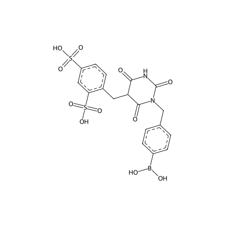 O=C1NC(=O)N(Cc2ccc(B(O)O)cc2)C(=O)C1Cc1ccc(S(=O)(=O)O)cc1S(=O)(=O)O